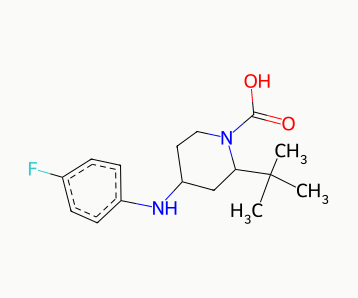 CC(C)(C)C1CC(Nc2ccc(F)cc2)CCN1C(=O)O